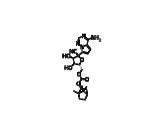 CC1(C)C2CCC1(C)C(OC(=O)OC[C@H]1O[C@@](C#N)(c3ccc4c(N)ncnn34)[C@H](O)[C@@H]1O)C2